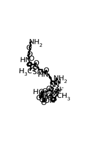 CSSC(C)c1ccc(NC(=O)COCCOCCN)cc1C(=O)OCCCCC(=O)NCC#Cc1cn([C@H]2CC(OC(=O)c3ccccc3C(C)N=[N+]=[N-])[C@@H](COP(=O)(O)OP(=O)(O)OP(=O)(O)O)O2)c2ncnc(N)c12